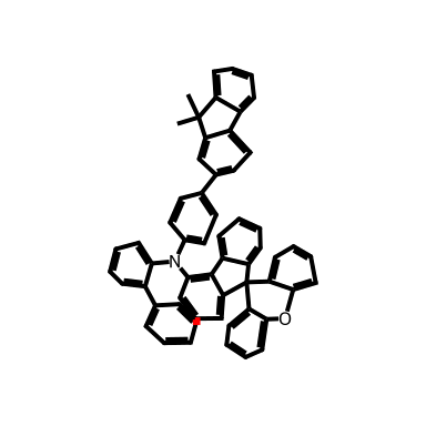 CC1(C)c2ccccc2-c2ccc(-c3ccc(N(c4ccccc4-c4ccccc4)c4cccc5c4-c4ccccc4C54c5ccccc5Oc5ccccc54)cc3)cc21